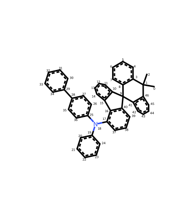 CC1(C)c2ccccc2C2(c3ccccc3-c3c(N(c4ccccc4)c4ccc(-c5ccccc5)cc4)cccc32)c2ccccc21